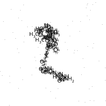 CC(=O)O[C@H]1C(=O)[C@@]2(C)[C@H]([C@H](OC(=O)c3ccccc3)[C@]3(O)C[C@H](OC(=O)C(OC(=O)OCCSSCCCC(=O)CC[C@H](NC(=O)c4ccc(NCc5cnc6[nH]c(N)nc(=O)c6n5)cc4)C(=O)O)[C@@H](NC(=O)c4ccccc4)c4ccccc4)C(C)=C1C3(C)C)[C@]1(OC(C)=O)CO[C@@H]1C[C@@H]2O